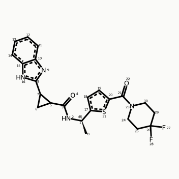 C[C@@H](NC(=O)C1CC1c1nc2ccccc2[nH]1)c1ccc(C(=O)N2CCC(F)(F)CC2)s1